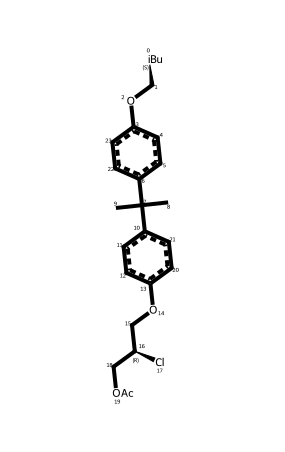 CC[C@H](C)COc1ccc(C(C)(C)c2ccc(OC[C@@H](Cl)COC(C)=O)cc2)cc1